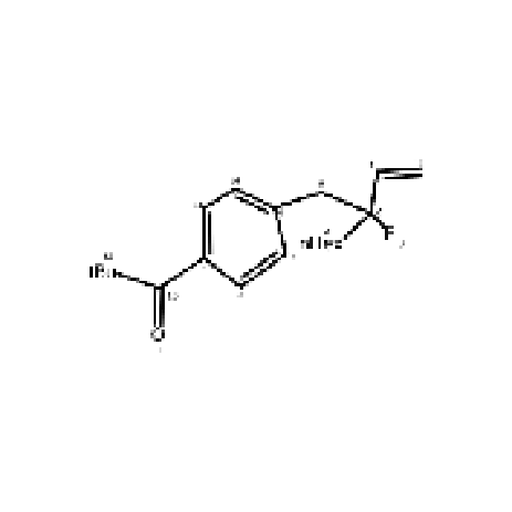 C=CC(F)(CCCCCC)Cc1ccc(C(=O)C(C)(C)C)cc1